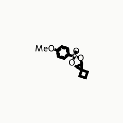 COc1ccc(P2(=O)OC3C(O2)C32CCC2)cc1